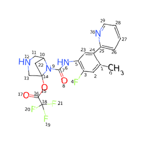 Cc1cc(F)c(NC(=O)N2C3CNCC2(OC(=O)C(F)(F)F)C3)cc1-c1ccccn1